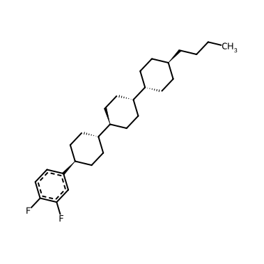 CCCC[C@H]1CC[C@H]([C@H]2CC[C@H]([C@H]3CC[C@H](c4ccc(F)c(F)c4)CC3)CC2)CC1